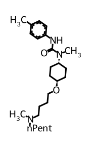 CCCCCN(C)CCCCO[C@H]1CC[C@H](N(C)C(=O)Nc2ccc(C)cc2)CC1